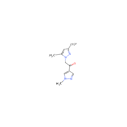 CCOC(=O)c1cc(C)n(CC(=O)c2cnn(C)c2)n1